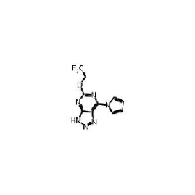 FC(F)(F)COc1nc(-n2cccc2)c2nn[nH]c2n1